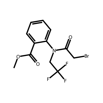 COC(=O)c1ccccc1N(CC(F)(F)F)C(=O)CBr